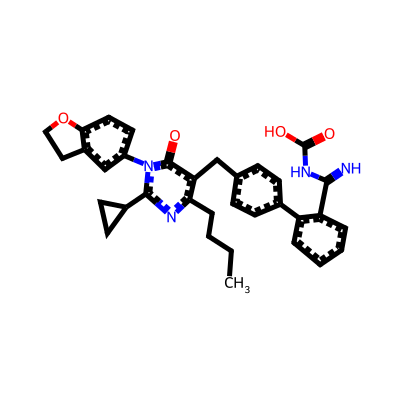 CCCCc1nc(C2CC2)n(-c2ccc3c(c2)CCO3)c(=O)c1Cc1ccc(-c2ccccc2C(=N)NC(=O)O)cc1